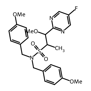 COc1ccc(CN(Cc2ccc(OC)cc2)S(=O)(=O)C(C)C(OC)c2ncc(F)cn2)cc1